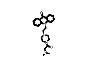 CN(C)CC(=O)N1CCN(CCn2c3ccccc3c(=O)c3ccccc32)CC1